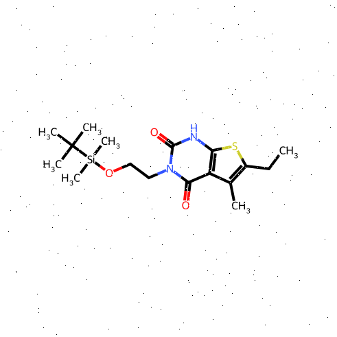 CCc1sc2[nH]c(=O)n(CCO[Si](C)(C)C(C)(C)C)c(=O)c2c1C